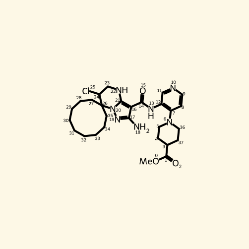 COC(=O)C1CCN(c2ccncc2NC(=O)c2c(N)nn3c2NCC(Cl)C32CCCCCCCCC2)CC1